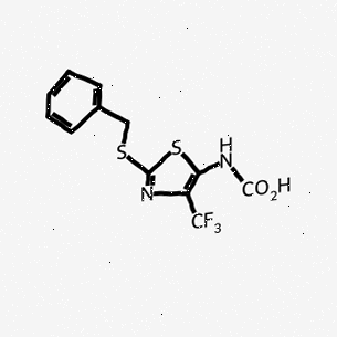 O=C(O)Nc1sc(SCc2ccccc2)nc1C(F)(F)F